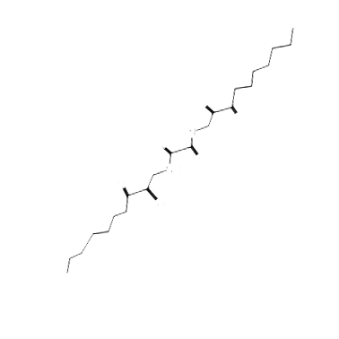 CCCCCCCC(=O)C(=O)CNC(=S)C(=S)NCC(=O)C(=O)CCCCCCC